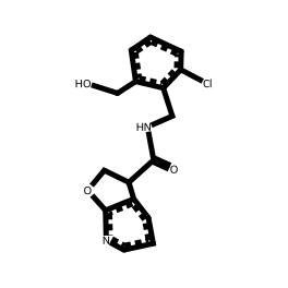 O=C(NCc1c(Cl)cccc1CO)C1COc2ncccc21